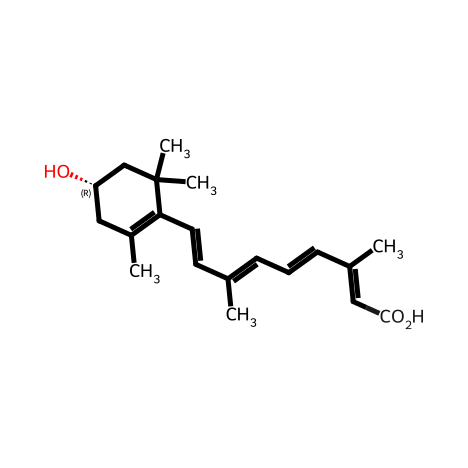 CC(C=CC1=C(C)C[C@H](O)CC1(C)C)=CC=CC(C)=CC(=O)O